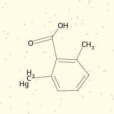 Cc1cccc(C)c1C(=O)O.[Hg]